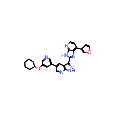 c1cc(-c2ccoc2)c2nc(-c3n[nH]c4ncc(-c5cncc(OC6CCCCC6)c5)cc34)[nH]c2n1